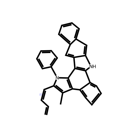 C=C/C=C\c1c(C)c2c3ccccc3c3[nH]c4cc5ccccc5cc4c3c2n1-c1ccccc1